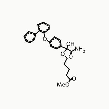 COC(=O)CCCCOC(O)(C(N)=O)c1ccc(Oc2ccccc2-c2ccccc2)cc1